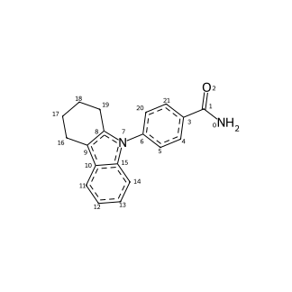 NC(=O)c1ccc(-n2c3c(c4ccccc42)CCCC3)cc1